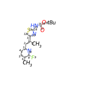 C/C(=C\c1ccc(C)c(F)n1)c1csc(NC(=O)OC(C)(C)C)n1